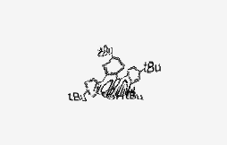 CC(C)(C)c1ccc(P(O)(O)(O)c2ccc(C(C)(C)C)cc2C(C)(C)C)c(-c2ccc(C(C)(C)C)cc2C(C)(C)C)c1